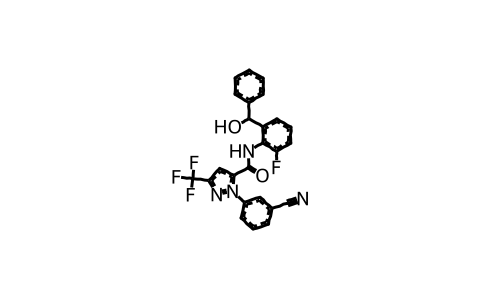 N#Cc1cccc(-n2nc(C(F)(F)F)cc2C(=O)Nc2c(F)cccc2C(O)c2ccccc2)c1